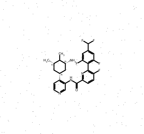 CC1[C@H](N)C[C@H](c2ccncc2NC(=O)c2ccc(F)c(-c3c(F)cc(C(F)F)cc3F)n2)C[C@@H]1C